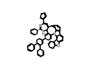 C1=CCCC=1C1=C=C2c3ccc4c5ccc6oc7c(c6c5n(c4c3)C3=CCC(C4=CC(C5C=CC=CC5)=C(c5ccccc5)CC4)C=C3C2NC([C@@H]2C=CC=CC2)=N1)C=CCC7